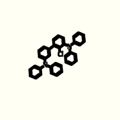 Clc1c(-c2cccc(N(c3ccccc3)c3ccccc3)c2)cccc1N(c1ccccc1)c1ccccc1